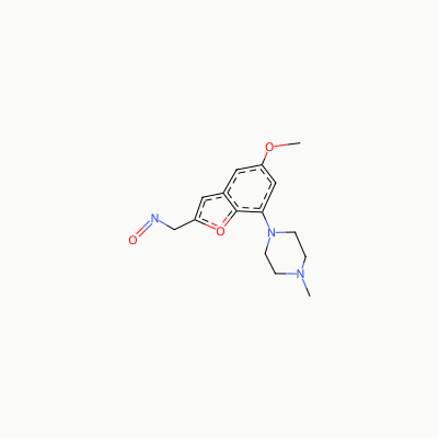 COc1cc(N2CCN(C)CC2)c2oc(CN=O)cc2c1